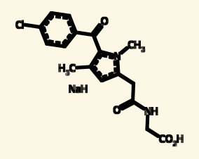 Cc1cc(CC(=O)NCC(=O)O)n(C)c1C(=O)c1ccc(Cl)cc1.[NaH]